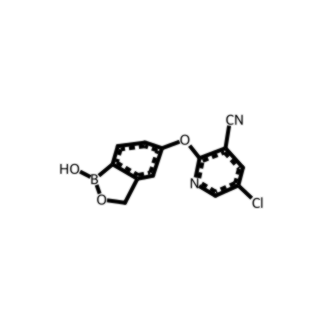 N#Cc1cc(Cl)cnc1Oc1ccc2c(c1)COB2O